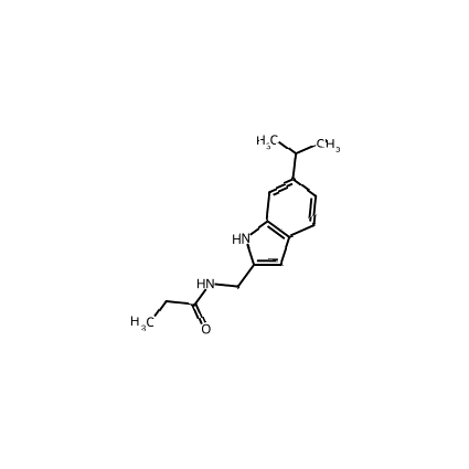 CCC(=O)NCc1cc2ccc(C(C)C)cc2[nH]1